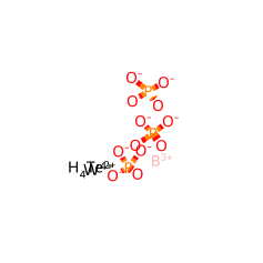 O=P([O-])([O-])[O-].O=P([O-])([O-])[O-].O=P([O-])([O-])[O-].[B+3].[TeH4+2].[W+4]